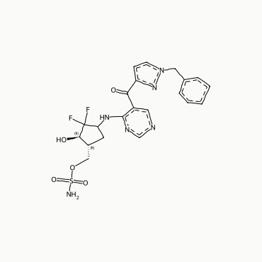 NS(=O)(=O)OC[C@H]1CC(Nc2ncncc2C(=O)c2ccn(Cc3ccccc3)n2)C(F)(F)[C@@H]1O